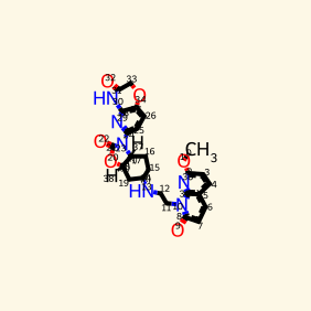 COc1ccc2ccc(=O)n(CCN[C@@H]3CC[C@@H]4[C@H](C3)OC(=O)N4c3ccc4c(n3)NC(=O)CO4)c2n1